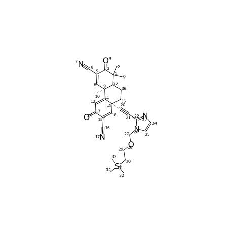 CC1(C)C(=O)C(C#N)=C[C@]2(C)C3=CC(=O)C(C#N)=C[C@]3(C#Cc3nccn3COCC[Si](C)(C)C)CCC12